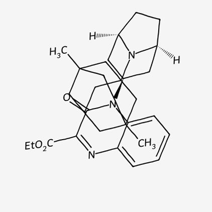 CCOC(=O)c1nc2ccccc2n([C@H]2C[C@H]3CC[C@@H](C2)N3C23CC4CC(C)(CC(C)(C4)C2)C3)c1=O